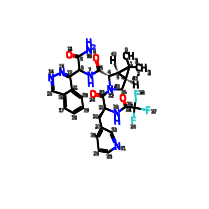 CC1(C)[C@@H]2[C@@H](C(=O)NC(C(N)=O)c3nncc4ccccc34)N(C(=O)[C@H](Cc3cccnc3)NC(=O)C(F)(F)F)C[C@@H]21